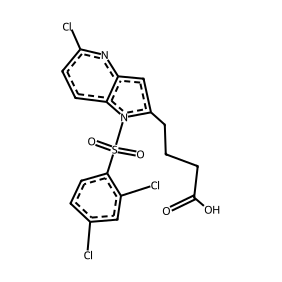 O=C(O)CCCc1cc2nc(Cl)ccc2n1S(=O)(=O)c1ccc(Cl)cc1Cl